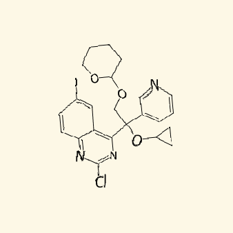 Clc1nc(C(COC2CCCCO2)(OC2CC2)c2cccnc2)c2cc(I)ccc2n1